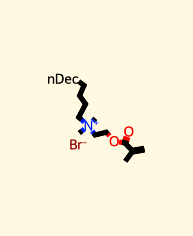 C=C(C)C(=O)OCC[N+](C)(C)CCCCCCCCCCCCCC.[Br-]